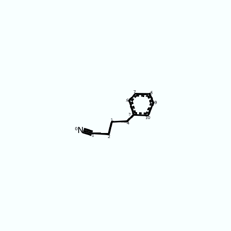 N#CCCCc1ccccc1